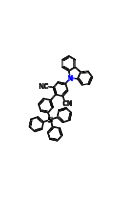 N#Cc1cc(-n2c3ccccc3c3ccccc32)cc(C#N)c1-c1cccc([Si](c2ccccc2)(c2ccccc2)c2ccccc2)c1